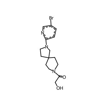 O=C(CO)N1CCC2(CC1)CCN(c1ccc(Br)cn1)C2